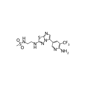 CS(=O)(=O)NCCNc1nn2c(-c3cnc(N)c(C(F)(F)F)c3)cnc2s1